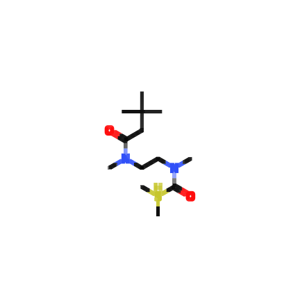 CN(CCN(C)C(=O)[SH](C)C)C(=O)CC(C)(C)C